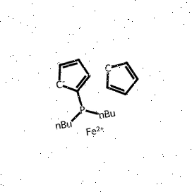 CCCCP(CCCC)c1ccc[cH-]1.[Fe+2].c1cc[cH-]c1